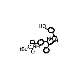 CC(C)(C)OC(=O)NC1(c2ccc(-c3nn4c(-c5cccc(CO)c5)cnc4cc3-c3ccccc3)cc2)CCC1